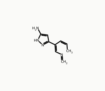 C=N/C=C(\C=C/C)c1cc(N)[nH]n1